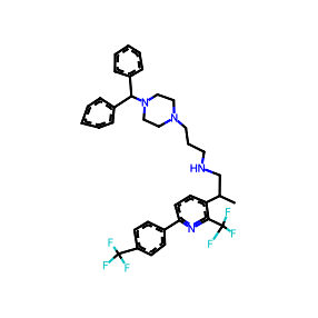 CC(CNCCCN1CCN(C(c2ccccc2)c2ccccc2)CC1)c1ccc(-c2ccc(C(F)(F)F)cc2)nc1C(F)(F)F